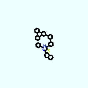 c1ccc(-c2nc(-c3cccc(-c4cccc(-c5ccc6c7ccccc7c7ccccc7c6c5)c4)c3)c3sc4c5ccccc5ccc4c3n2)cc1